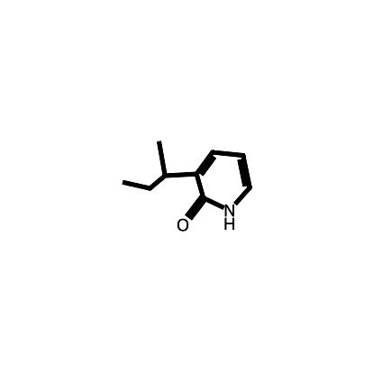 CCC(C)c1ccc[nH]c1=O